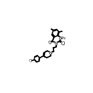 Cc1cc(C)c2[nH]c(=O)n(CCCN3CC=C(c4ccc(Cl)cc4)CC3)c(=O)c2c1